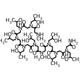 CNCC(=O)N(CC(=O)N(CC(=O)N(CC(=O)N(CC(=O)N(CC(=O)N(C)CC(=O)N(CC(=O)N(CC(=O)N(CC(N)=O)CC(C)O)CC(C)O)CC(C)O)CC(C)O)CC(C)O)CC(C)O)CC(C)O)CC(C)O